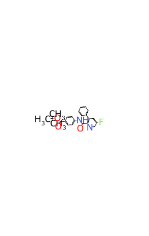 CC(C)(C)OC(=O)c1ccc(NC(=O)c2ncc(F)cc2-c2ccccc2)cc1